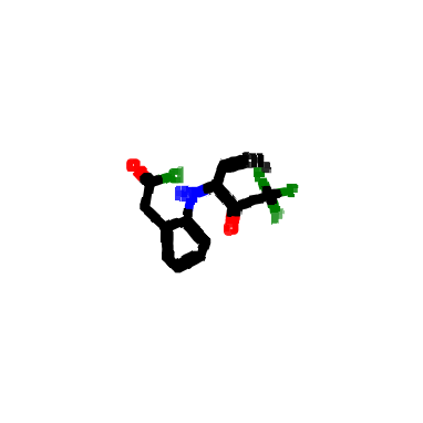 C=CC(Nc1ccccc1CC(=O)Cl)C(=O)C(F)(F)F